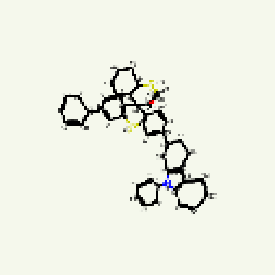 C1=CCC(c2ccc3c(c2)Sc2cc(C4CCc5c6c(n(C7C=CC=CC7)c5C4)C=CCC6)ccc2C32C3=CCCC=C3SC3CCCCC32)C=C1